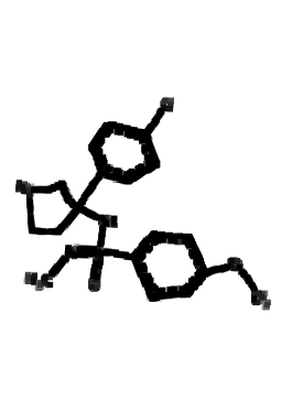 CN=S(=O)(NC1(c2ccc(Cl)cc2)CCNC1)c1ccc(OC(F)(F)F)cc1